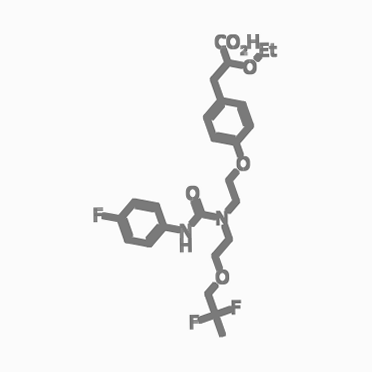 CCOC(Cc1ccc(OCCN(CCOCC(C)(F)F)C(=O)Nc2ccc(F)cc2)cc1)C(=O)O